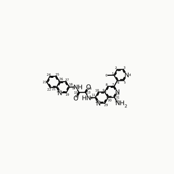 Cc1ccncc1-c1cc2cc(NC(=O)C(=O)Nc3cnc4ccccc4c3)ncc2c(N)n1